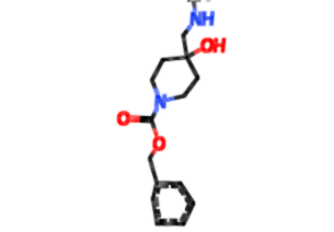 CCCNCC1(O)CCN(C(=O)OCc2ccccc2)CC1